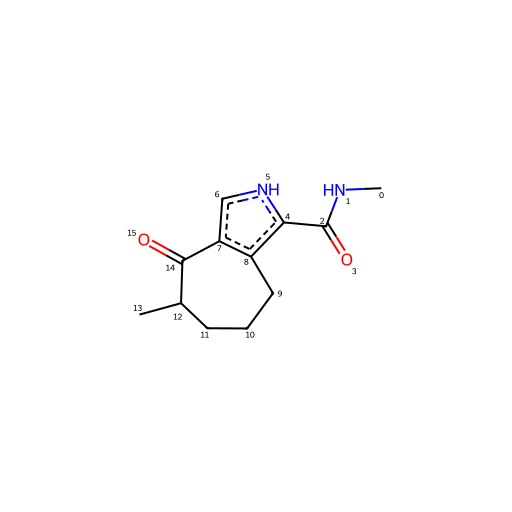 CNC(=O)c1[nH]cc2c1CCCC(C)C2=O